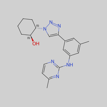 Cc1cc(Nc2nccc(C)n2)cc(-c2cn([C@H]3CCCC[C@@H]3O)nn2)c1